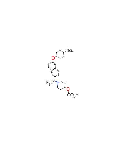 CC(C)(C)[C@H]1CC[C@H](Oc2ccc3cc(C(N4CCC(OC(=O)O)CC4)C(F)(F)F)ccc3c2)CC1